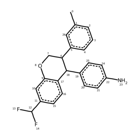 Cc1cccc(C2COc3cc(C(F)F)ccc3C2c2ccc(N)cc2)c1